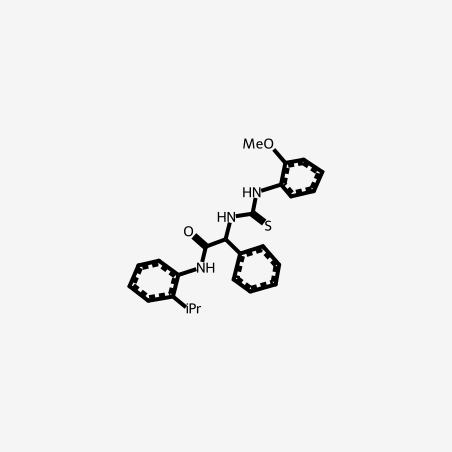 COc1ccccc1NC(=S)NC(C(=O)Nc1ccccc1C(C)C)c1ccccc1